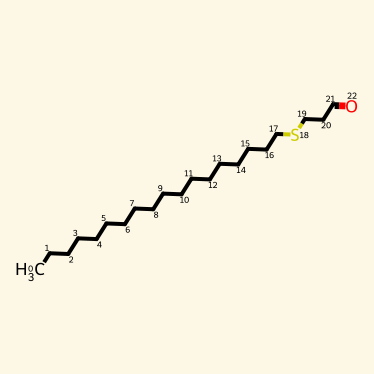 CCCCCCCCCCCCCCCCCCSCCC=O